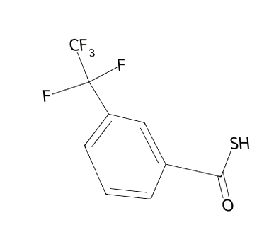 O=C(S)c1cccc(C(F)(F)C(F)(F)F)c1